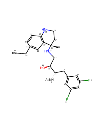 CC(=O)N[C@@H](Cc1cc(F)cc(F)c1)[C@@H](O)CN[C@@]1(C)CCNc2ccc(CC(C)(C)C)cc21